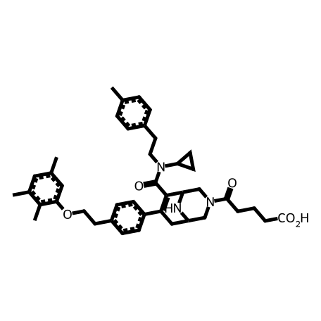 Cc1ccc(CCN(C(=O)C2=C(c3ccc(CCOc4cc(C)cc(C)c4C)cc3)CC3CN(C(=O)CCCC(=O)O)CC2N3)C2CC2)cc1